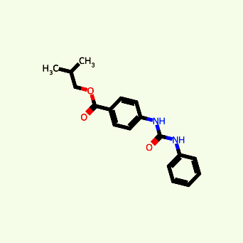 CC(C)COC(=O)c1ccc(NC(=O)Nc2ccccc2)cc1